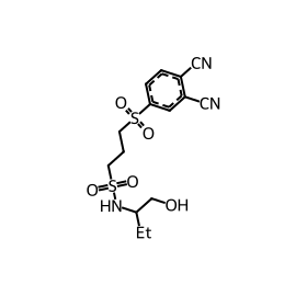 CCC(CO)NS(=O)(=O)CCCS(=O)(=O)c1ccc(C#N)c(C#N)c1